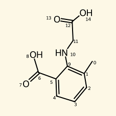 Cc1cccc(C(=O)O)c1NCC(=O)O